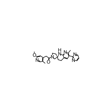 COc1cc(CC(=O)N2CC[C@@]3(CCc4cc(-c5ncccn5)c(C)nc4N3)C2)c(C)cn1